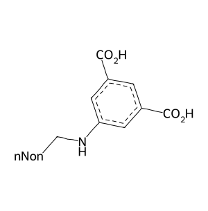 CCCCCCCCCCNc1cc(C(=O)O)cc(C(=O)O)c1